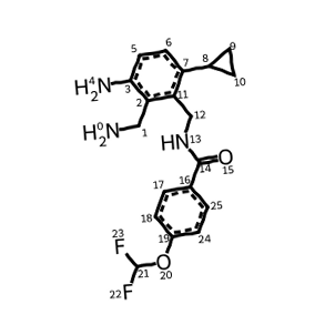 NCc1c(N)ccc(C2CC2)c1CNC(=O)c1ccc(OC(F)F)cc1